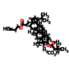 C#CCCOC(=O)CC[C@]12CC[C@@H](C(=C)C)[C@@H]1[C@H]1CC[C@@H]3[C@@]4(C)CC[C@H](OC(=O)CC(C)(C)C(=O)O)C(C)(C)[C@@H]4CC[C@@]3(C)[C@]1(C)CC2